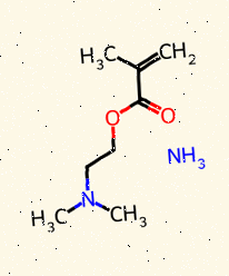 C=C(C)C(=O)OCCN(C)C.N